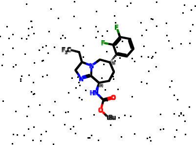 CC(C)(C)OC(=O)N[C@@H]1CC[C@@H](c2cccc(F)c2F)CN2C1=NCC2CC(F)(F)F